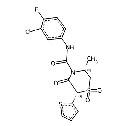 C[C@@H]1CS(=O)(=O)[C@H](c2cccs2)C(=O)N1C(=O)Nc1ccc(F)c(Cl)c1